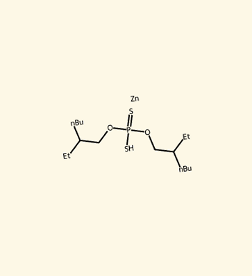 CCCCC(CC)COP(=S)(S)OCC(CC)CCCC.[Zn]